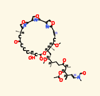 CO[C@@H]1C/C=C\c2nc(co2)-c2nc(co2)-c2nc(co2)[C@@H](C)CC(=O)CCC[C@@H](O)CC(=O)O[C@H](C[C@@H](OC)[C@@H](C)CCC(=O)[C@H](C)[C@H](OC(C)=O)[C@H](C)/C=C/N(C)C=O)[C@H]1C